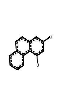 Clc1cc(Cl)c2c(ccc3ccccc32)c1